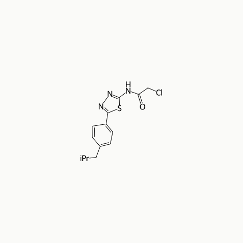 CC(C)Cc1ccc(-c2nnc(NC(=O)CCl)s2)cc1